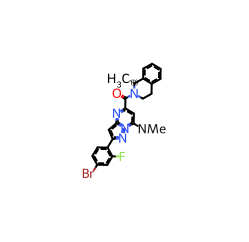 CNc1cc(C(=O)N2CCc3ccccc3[C@H]2C)nc2cc(-c3ccc(Br)cc3F)nn12